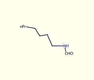 [CH2]CCCCCCN[C]=O